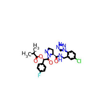 CC(C)C(=O)O[C@@H](C(=O)N1N=CC[C@H]1C(=O)NCc1cc(Cl)ccc1-n1cnnn1)c1ccc(F)cc1